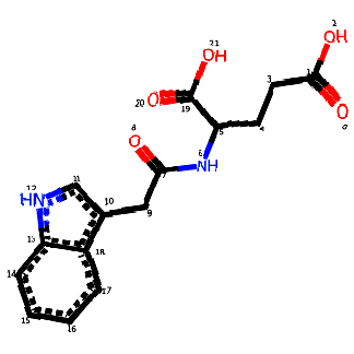 O=C(O)CCC(NC(=O)Cc1c[nH]c2ccccc12)C(=O)O